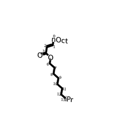 CCCCCCCCC=CC(=O)OCCCCCCCC(C)C